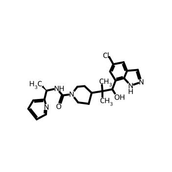 C[C@@H](NC(=O)N1CCC(C(C)(C)C(O)c2cc(Cl)cc3cn[nH]c23)CC1)c1ccccn1